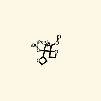 CCCCC[SiH](OCC)C1(C(CCCC)(OCCCC)C2CCO2)CCO1